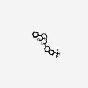 O=CC1C(c2ccccc2)CCCN1CC(=O)N1CCc2ccc(C(F)(F)F)cc2C1